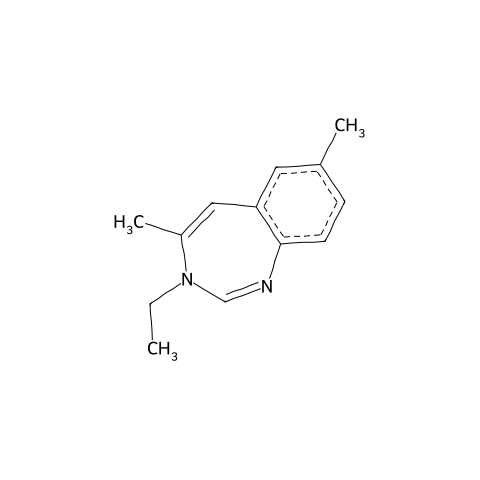 CCN1C=Nc2ccc(C)cc2C=C1C